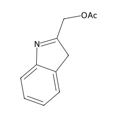 CC(=O)OCC1=Nc2ccccc2C1